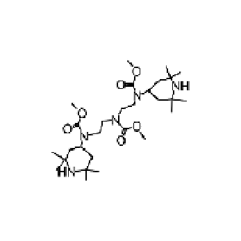 COC(=O)N(CCN(C(=O)OC)C1CC(C)(C)NC(C)(C)C1)CCN(C(=O)OC)C1CC(C)(C)NC(C)(C)C1